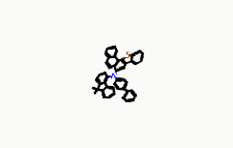 CC1(C)c2ccccc2-c2c(N(c3ccc(-c4ccccc4)cc3)c3cc4c5ccccc5sc4c4c3ccc3ccccc34)cccc21